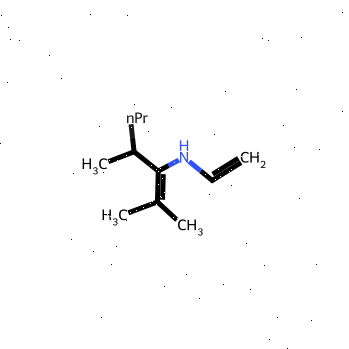 C=CNC(=C(C)C)C(C)CCC